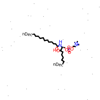 CCCCCCCCCCCCCCCCCCCCCC(=O)N[C@@H](COP(=O)([O-])OCC[N+](C)(C)C)[C@H](O)CCCCCCCCCCCCCCC